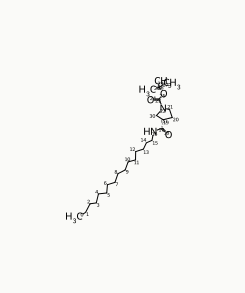 CCCCCCCCCCCCCCCCNC(=O)[C@H]1CCN(C(=O)OC(C)(C)C)C1